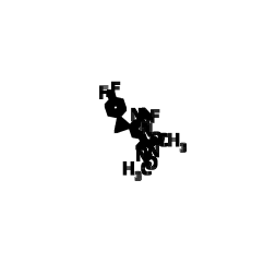 COc1ncc(-c2cc([C@H]3C[C@@H]3c3ccc(C(F)F)cc3)c3ncc(F)n3n2)c(OC)n1